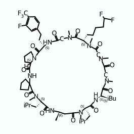 CC[C@H](C)[C@@H]1NC(=O)[C@H](CC(C)C)N(C)C(=O)C[C@@H](C)NC(=O)[C@H](CC(C)C)N(C)C(=O)C2(CCCC2)NC(=O)[C@@H]2CCCN2C(=O)[C@H](CCc2ccc(C(F)(F)F)c(F)c2)NC(=O)CN(C)C(=O)[C@H](CCCCC(F)F)N(C)C(=O)CN(C)C(=O)CN(C)C1=O